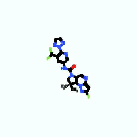 C[C@@]1(C(F)(F)F)CN(C(=O)Nc2cnc(-n3nccn3)c(C(F)F)c2)c2cnc3cc(F)nn3c21